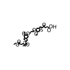 CCOC(=O)CCN(C)C(=O)c1cc2cc(OCCCOc3cc4cc(C(=O)CCC(=O)O)sc4cc3OC)c(OC)cc2s1